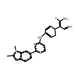 Cc1cc2ccc(-c3nccc(NC4=CCC(/C(C=N)=C(/N)F)C=C4)n3)cc2n1C